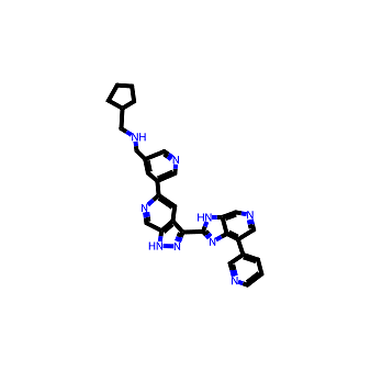 c1cncc(-c2cncc3[nH]c(-c4n[nH]c5cnc(-c6cncc(CNCC7CCCC7)c6)cc45)nc23)c1